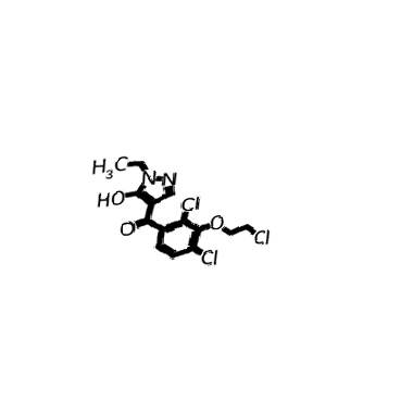 CCn1ncc(C(=O)c2ccc(Cl)c(OCCCl)c2Cl)c1O